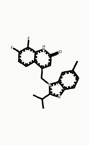 Cc1ccc2nc(C(C)C)n(Cc3cc(=O)[nH]c4c(F)c(F)ccc34)c2c1